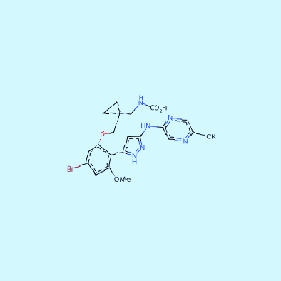 COc1cc(Br)cc(OCC2(CNC(=O)O)CC2)c1-c1cc(Nc2cnc(C#N)cn2)n[nH]1